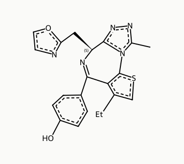 CCc1csc2c1C(c1ccc(O)cc1)=N[C@@H](Cc1ncco1)c1nnc(C)n1-2